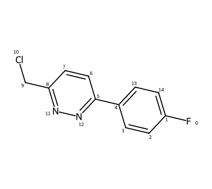 Fc1ccc(-c2ccc(CCl)nn2)cc1